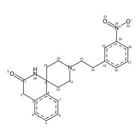 O=C1Cc2ccccc2C2(CCN(CCc3cccc([N+](=O)[O-])c3)CC2)N1